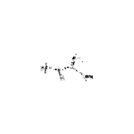 BB[SiH](B)OC